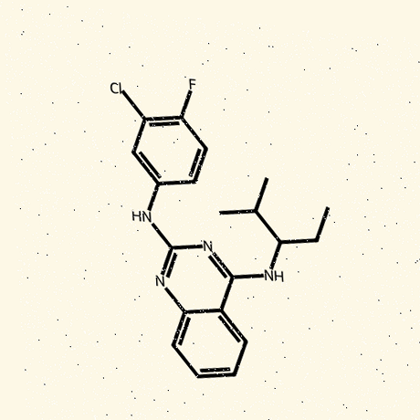 CCC(Nc1nc(Nc2ccc(F)c(Cl)c2)nc2ccccc12)C(C)C